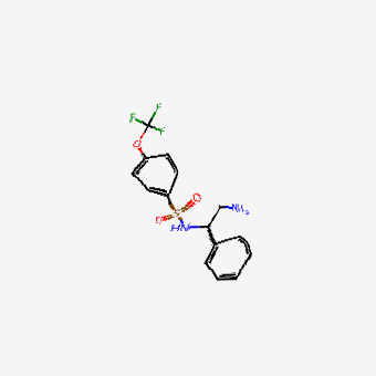 NCC(NS(=O)(=O)c1ccc(OC(F)(F)F)cc1)c1ccccc1